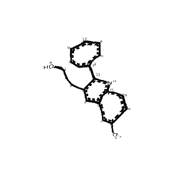 OCCc1cc2cc(C(F)(F)F)ccc2nc1-c1ccccc1